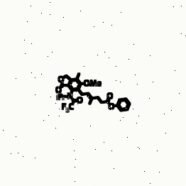 COc1c(C)c2c(c(N(C(=O)C(F)(F)F)C(C)C)c1C/C=C(\C)CCC(=O)Oc1ccccc1)C(=O)OC2